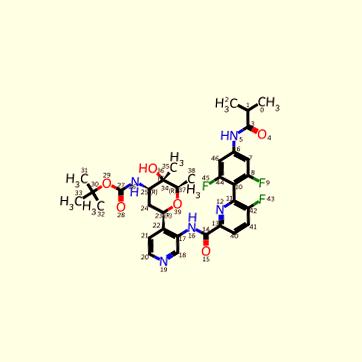 CC(C)C(=O)Nc1cc(F)c(-c2nc(C(=O)Nc3cnccc3[C@H]3C[C@@H](NC(=O)OC(C)(C)C)[C@](C)(O)[C@@H](C)O3)ccc2F)c(F)c1